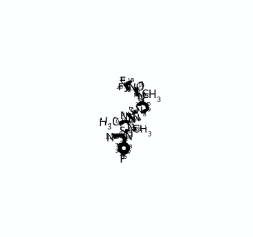 CCC1N=C2SC(N3CCCC(N(C)CC(=O)N4CC(F)(F)C4)C3)=NN2C1N(C)c1nc(-c2ccc(F)cc2)c(C#N)s1